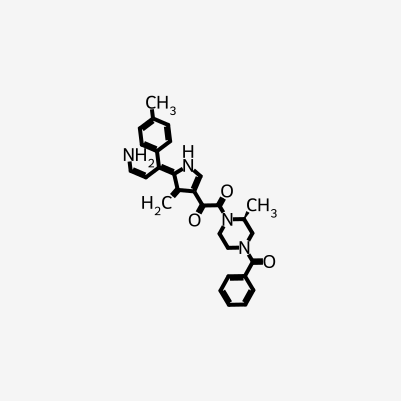 C=c1c(C(=O)C(=O)N2CCN(C(=O)c3ccccc3)C[C@@H]2C)c[nH]/c1=C(/C=C\N)c1ccc(C)cc1